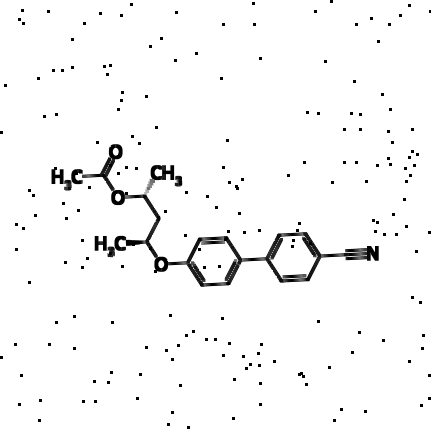 CC(=O)O[C@H](C)C[C@H](C)Oc1ccc(-c2ccc(C#N)cc2)cc1